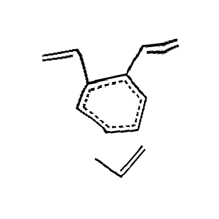 C=CC.C=Cc1ccccc1C=C